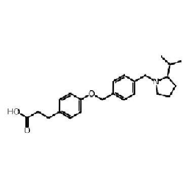 CC(C)C1CCCN1Cc1ccc(COc2ccc(CCC(=O)O)cc2)cc1